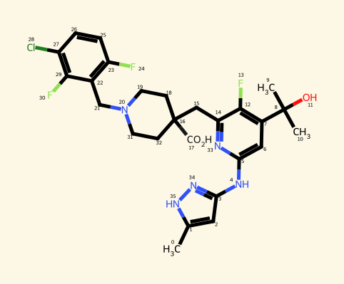 Cc1cc(Nc2cc(C(C)(C)O)c(F)c(CC3(C(=O)O)CCN(Cc4c(F)ccc(Cl)c4F)CC3)n2)n[nH]1